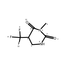 CN1C(=O)NCC(C(F)(F)F)C1=O